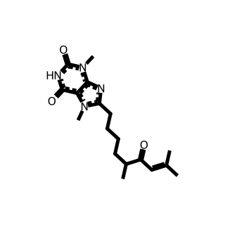 CC(C)=CC(=O)C(C)CCCCc1nc2c(c(=O)[nH]c(=O)n2C)n1C